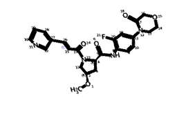 CO[C@@H]1C[C@H](C(=O)Nc2ccc(N3CCOCC3=O)cc2F)N(C(=O)/C=C/c2cccnc2)C1